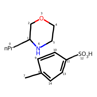 CCCC1COCCN1.Cc1ccc(S(=O)(=O)O)cc1